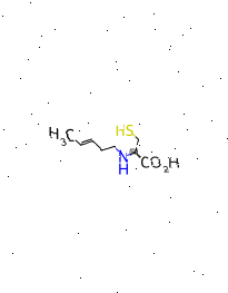 CC=CCCN[C@@H](CS)C(=O)O